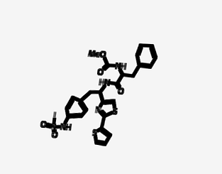 COC(=O)NC(Cc1ccccc1)C(=O)NC(Cc1ccc(NS(=O)(=O)I)cc1)c1csc(-c2cccs2)n1